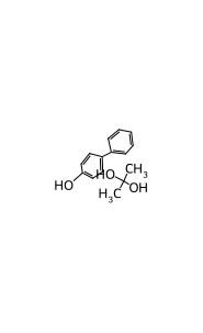 CC(C)(O)O.Oc1ccc(-c2ccccc2)cc1